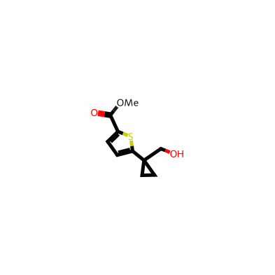 COC(=O)c1ccc(C2(CO)CC2)s1